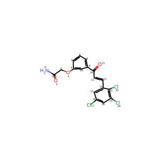 NC(=O)COc1cccc(C(=O)/C=C/c2cc(Cl)cc(Cl)c2Cl)c1